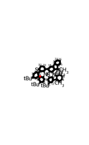 CC(C)(C)c1ccc(N2B3c4cc(C(C)(C)C)cc5c4N(c4c3c(cc3c4C(C)(C)c4ccccc4-3)-c3ccc4sc6cc(C(C)(C)C)ccc6c4c32)C2(C)CCCCC52C)cc1